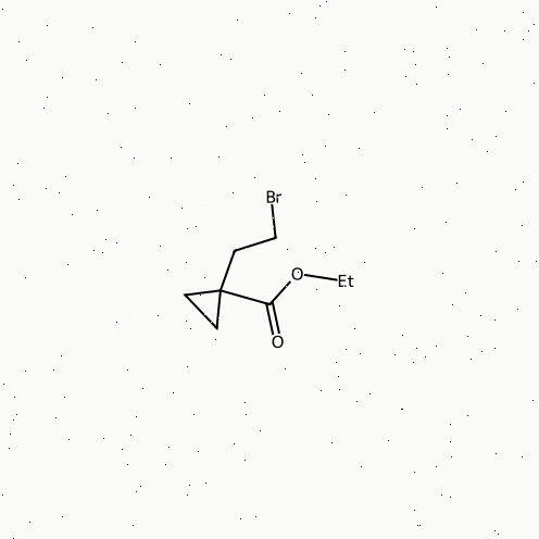 CCOC(=O)C1(CCBr)CC1